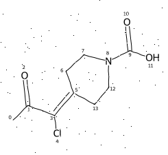 CC(=O)C(Cl)=C1CCN(C(=O)O)CC1